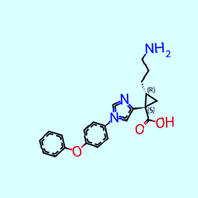 NCCC[C@@H]1C[C@@]1(C(=O)O)c1cn(-c2ccc(Oc3ccccc3)cc2)cn1